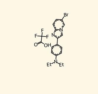 CCN(CC)c1ccc(-c2cn3cc(Br)ccc3n2)cc1.O=C(O)C(F)(F)F